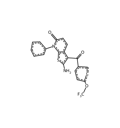 Nc1sc2c(ccc(=O)n2-c2ccccc2)c1C(=O)c1ccc(OC(F)(F)F)cc1